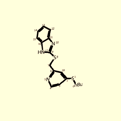 CCCCSc1ccnc(CSc2nc3ccccc3[nH]2)c1